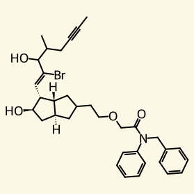 CC#CCC(C)C(O)C(Br)=C[C@@H]1[C@@H]2CC(CCOCC(=O)N(Cc3ccccc3)c3ccccc3)C[C@H]2C[C@H]1O